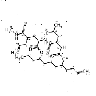 C=CCCC(CCCCCCC)OC(=O)NC(CC(C)C)C(=O)NC(CC(CC=C)C(=O)NC)C(=O)O